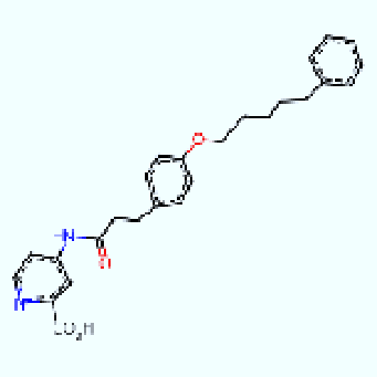 O=C(CCc1ccc(OCCCCCc2ccccc2)cc1)Nc1ccnc(C(=O)O)c1